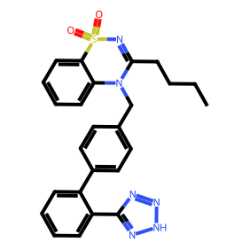 CCCCC1=NS(=O)(=O)c2ccccc2N1Cc1ccc(-c2ccccc2-c2nn[nH]n2)cc1